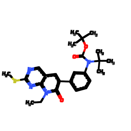 CCn1c(=O)c(-c2cccc(N(C(=O)OC(C)(C)C)C(C)(C)C)c2)cc2cnc(SC)nc21